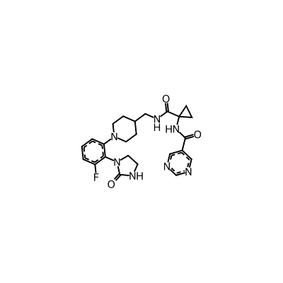 O=C(NC1(C(=O)NCC2CCN(c3cccc(F)c3N3CCNC3=O)CC2)CC1)c1cncnc1